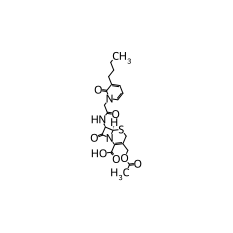 CCCCc1cccn(CC(=O)N[C@@H]2C(=O)N3C(C(=O)O)=C(COC(C)=O)CS[C@H]23)c1=O